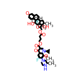 COc1c(N2CCNC(C)C2)c(F)cc2c(=O)c(C(=O)OCCCC(=O)OCC(=O)[C@]3(O)[C@H](C)C[C@@H]4[C@H]5CCC6=CC(=O)C=C[C@@]6(C)[C@]5(F)[C@H](O)C[C@]43C)cn(C3CC3)c12